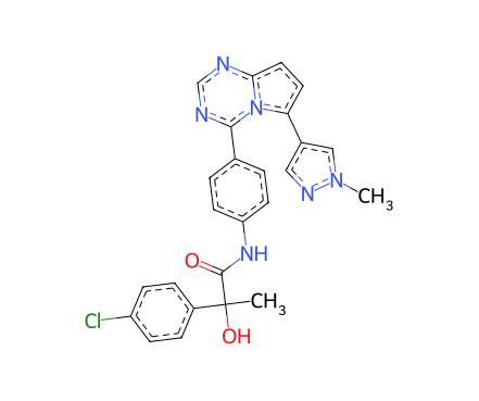 Cn1cc(-c2ccc3ncnc(-c4ccc(NC(=O)C(C)(O)c5ccc(Cl)cc5)cc4)n23)cn1